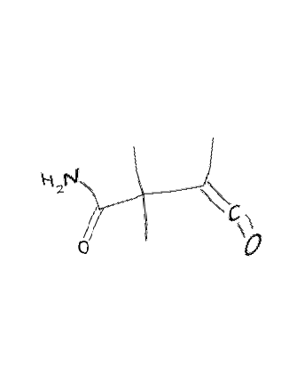 CC(=C=O)C(C)(C)C(N)=O